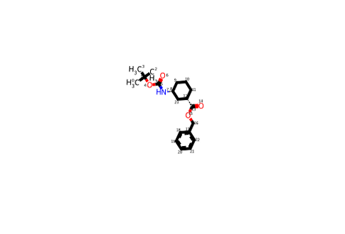 CC(C)(C)OC(=O)N[C@@H]1CCC[C@H](C(=O)OCc2ccccc2)C1